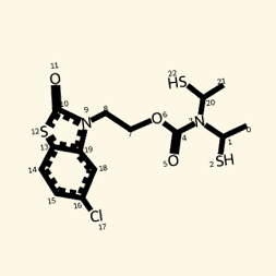 CC(S)N(C(=O)OCCn1c(=O)sc2ccc(Cl)cc21)C(C)S